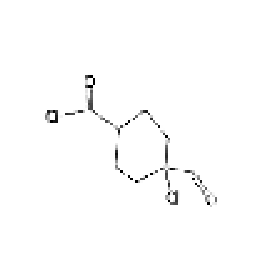 O=CC1(Cl)CCC(C(=O)Cl)CC1